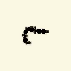 COc1ccc(CC(=O)Nc2ccc(C(=O)N(CC(=O)O)Cc3ccc(OC(=O)c4ccc(-c5ccc(C#N)cc5)cc4)cc3)cc2)cc1